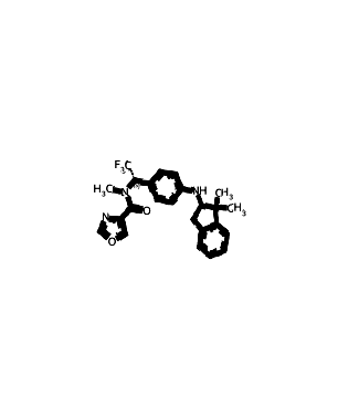 CN(C(=O)c1cocn1)[C@@H](c1ccc(NC2Cc3ccccc3C2(C)C)cc1)C(F)(F)F